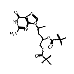 CC(CC(COC(=O)C(C)(C)C)OC(=O)C(C)(C)C)n1cnc2c(=O)[nH]c(N)nc21